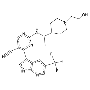 CC(Nc1ncc(C#N)c(-c2c[nH]c3ncc(C(F)(F)F)cc23)n1)C1CCN(CCO)CC1